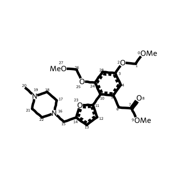 COCOc1cc(CC(=O)OC)c(-c2ccc(CN3CCN(C)CC3)o2)c(OCOC)c1